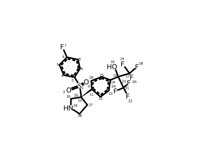 O=S(=O)(c1ccc(F)cc1)[C@]1(c2ccc(C(O)(C(F)(F)F)C(F)(F)F)cc2)CCNC1